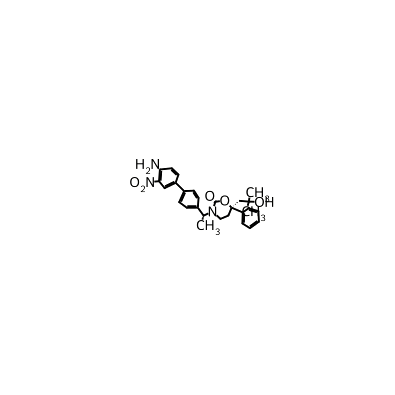 C[C@@H](c1ccc(-c2ccc(N)c([N+](=O)[O-])c2)cc1)N1CC[C@](CC(C)(C)O)(c2ccccc2)OC1=O